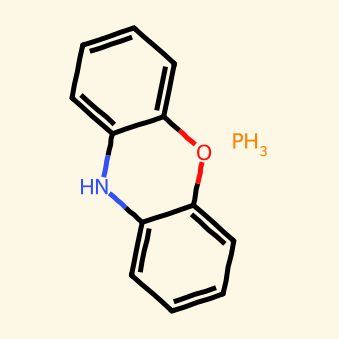 P.c1ccc2c(c1)Nc1ccccc1O2